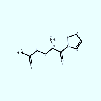 NC(=O)CC[C@H](N)C(=O)N1C=CCC1